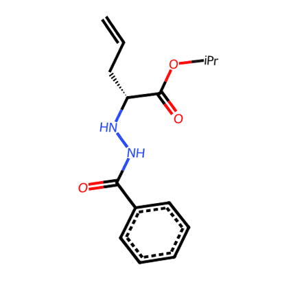 C=CC[C@@H](NNC(=O)c1ccccc1)C(=O)OC(C)C